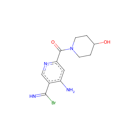 N=C(Br)c1cnc(C(=O)N2CCC(O)CC2)cc1N